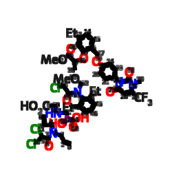 C=CCN(CC=C)C(=O)C(Cl)Cl.CCc1ccc(COc2ccc(-n3c(=O)cc(C(F)(F)F)n(C)c3=O)cc2)c(OC(C)C(=O)OC)c1.CCc1cccc(CC)c1N(COC)C(=O)CCl.O=C(O)CNCP(=O)(O)O